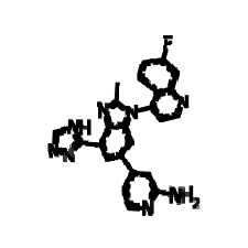 Cc1nc2c(-c3nnc[nH]3)cc(-c3ccnc(N)c3)cc2n1-c1ccnc2cc(F)ccc12